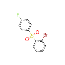 O=S(=O)(c1ccc(F)cc1)c1ccccc1Br